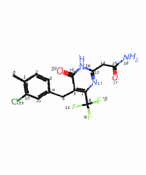 Cc1ccc(Cc2c(C(F)(F)F)nc(CC(N)=O)[nH]c2=O)cc1Cl